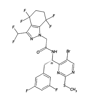 CSc1ncc(Br)c([C@H](Cc2cc(F)cc(F)c2)NC(=O)Cn2nc(C(F)F)c3c2C(F)(F)CCC3(F)F)n1